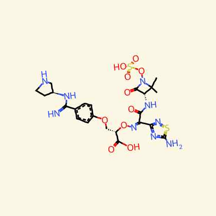 CC1(C)[C@H](NC(=O)/C(=N\O[C@@H](COc2ccc(C(=N)N[C@H]3CCNC3)cc2)C(=O)O)c2nsc(N)n2)C(=O)N1OS(=O)(=O)O